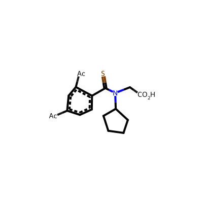 CC(=O)c1ccc(C(=S)N(CC(=O)O)C2CCCC2)c(C(C)=O)c1